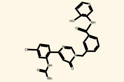 CC(C)(C)C(=O)Nc1cc(Cl)ccc1-c1cc(=O)n(Cc2cccc(C(=O)Nc3cnccc3O)c2)cn1